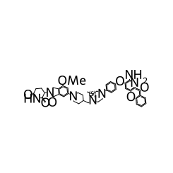 COc1cc(N2CCC(CN3CCN(c4ccc(Oc5cc6oc7ccccc7c(=O)c6nc5N)cc4)C[C@@H]3C)CC2)cc2c1CN(C1CCC(=O)NC1=O)C2=O